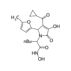 CCCCC(C(=O)NO)N1C(=O)C(O)=C(C(=O)C2CC2)C1c1ccc(C)o1